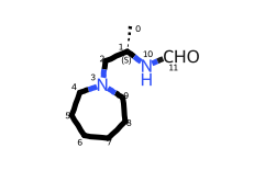 C[C@@H](CN1CCCCCC1)NC=O